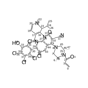 C=CC(=O)N1[C@H](C)CN(c2c(C#N)c(=O)n(C3=C(C)C=CN(C)C3C(C)C)c3nc(-c4c(Cl)c(O)c(Cl)c(Cl)c4Cl)c(Cl)cc23)C[C@@H]1C